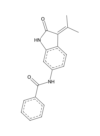 CC(C)=C1C(=O)Nc2cc(NC(=O)c3ccccc3)ccc21